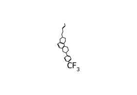 CC=CCCC1CCc2c(ccc3c2CCC(c2ccc(C(F)(F)F)cc2)C3)C1